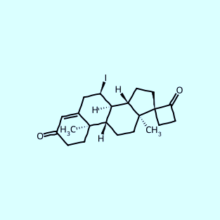 C[C@]12CCC(=O)C=C1C[C@@H](I)[C@@H]1[C@@H]2CC[C@@]2(C)[C@H]1CC[C@@]21CCC1=O